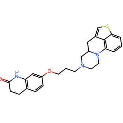 O=C1CCc2ccc(OCCCN3CCN4c5cccc6scc(c56)CC4C3)cc2N1